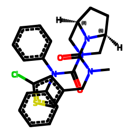 CN(Cc1csc(Cl)c1)C(=O)N1[C@@H]2CC[C@H]1CN(C(=O)N(c1ccccc1)c1ccccc1)C2